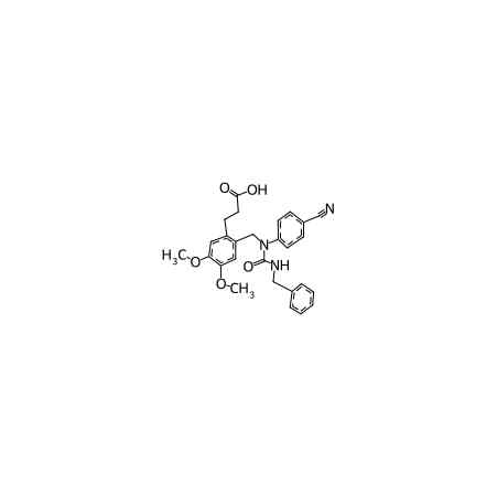 COc1cc(CCC(=O)O)c(CN(C(=O)NCc2ccccc2)c2ccc(C#N)cc2)cc1OC